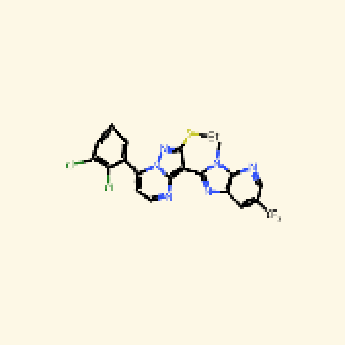 CCSc1nn2c(-c3cccc(Cl)c3Cl)ccnc2c1-c1nc2cc(C(F)(F)F)cnc2n1C